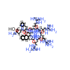 C[C@@H](N)C(=O)N[C@@H](CCCNC(=N)N)C(=O)N[C@@H](CCCNC(=N)N)C(=O)N[C@@H](CCCNC(=N)N)C(=O)N[C@@H](CCCNC(=N)N)C(=O)N[C@@H](Cc1ccc2ccccc2c1)C(=O)N[C@@H](Cc1ccccc1)C(=O)N[C@@H](CCC(N)=O)C(=O)O